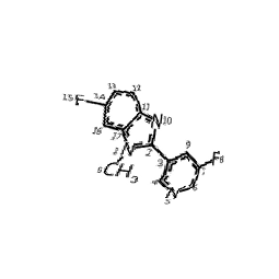 Cn1c(-c2cncc(F)c2)nc2ccc(F)cc21